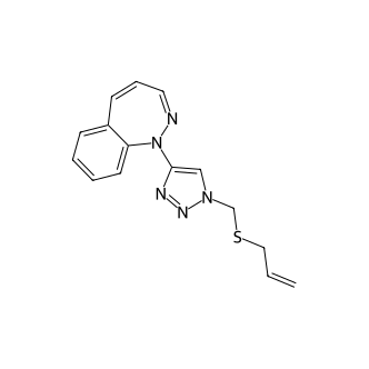 C=CCSCn1cc(N2N=CC=Cc3ccccc32)nn1